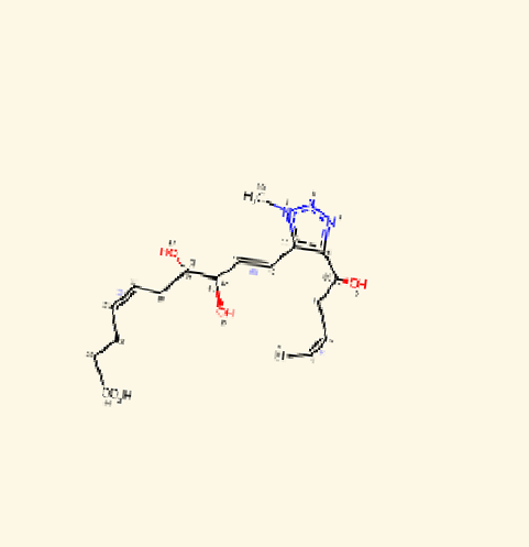 CC/C=C\C[C@H](O)c1nnn(C)c1/C=C/[C@@H](O)[C@@H](O)C/C=C\CCC(=O)O